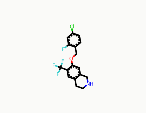 Fc1cc(Cl)ccc1COc1cc2c(cc1C(F)(F)F)CCNC2